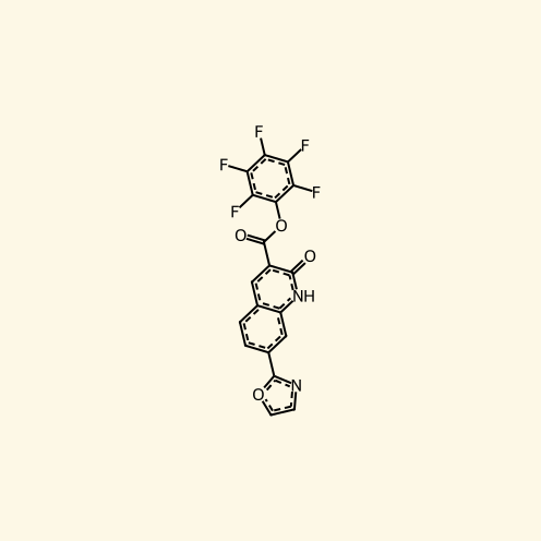 O=C(Oc1c(F)c(F)c(F)c(F)c1F)c1cc2ccc(-c3ncco3)cc2[nH]c1=O